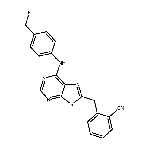 N#Cc1ccccc1Cc1nc2c(Nc3ccc(CF)cc3)ncnc2s1